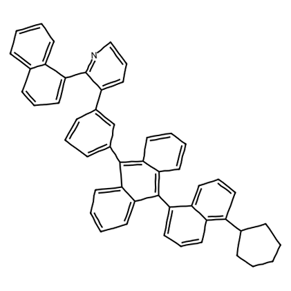 c1cc(-c2cccnc2-c2cccc3ccccc23)cc(-c2c3ccccc3c(-c3cccc4c(C5CCCCC5)cccc34)c3ccccc23)c1